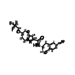 N#Cc1ccc2c(c1)C[C@@H](NC(=O)c1cc3n(n1)CCC(OCC(F)(F)F)CO3)CO2